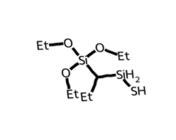 CCO[Si](OCC)(OCC)C(CC)[SiH2]S